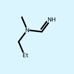 [CH2]CCN(C)C=N